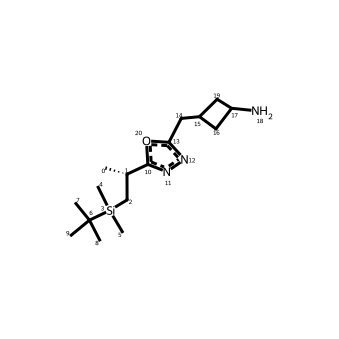 C[C@@H](C[Si](C)(C)C(C)(C)C)c1nnc(CC2CC(N)C2)o1